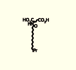 CC(C)CCCCCCCCCCCC(=O)N[C@@H](CCC(=O)O)C(=O)O